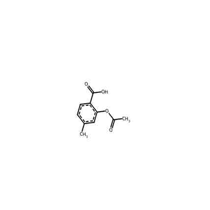 CC(=O)Oc1cc(C)ccc1C(=O)O